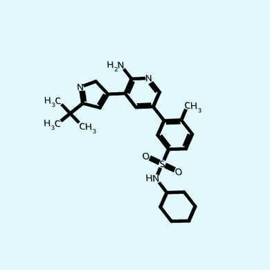 Cc1ccc(S(=O)(=O)NC2CCCCC2)cc1-c1cnc(N)c(C2=CC(C(C)(C)C)=NC2)c1